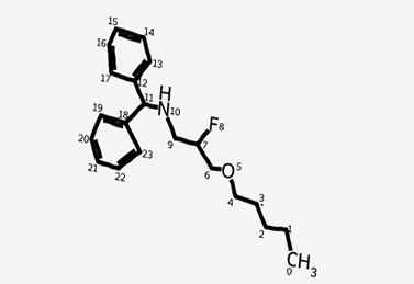 CCC[CH]COCC(F)CNC(c1ccccc1)c1ccccc1